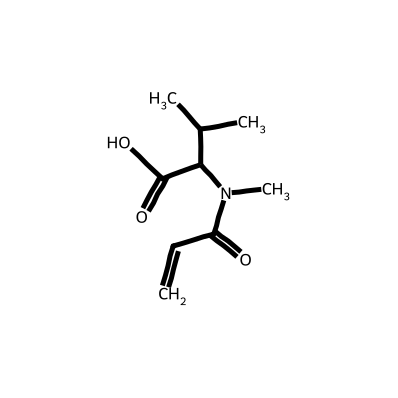 C=CC(=O)N(C)C(C(=O)O)C(C)C